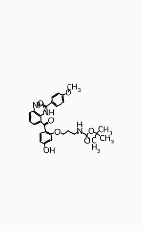 COc1ccc(C(=O)Nc2c(N)cccc2C(=O)c2ccc(O)cc2OCCCNC(=O)OC(C)(C)C)cc1